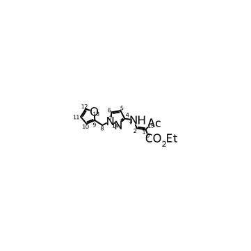 CCOC(=O)C(=CNc1ccn(Cc2ccco2)n1)C(C)=O